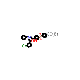 CCOC(=O)c1ccc(S(=O)(=O)c2ccc(CCN(Cc3ccccc3)C[C@H](O)c3cccc(Cl)c3)cc2)cc1